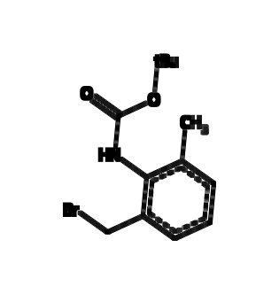 Cc1cccc(CBr)c1NC(=O)OC(C)(C)C